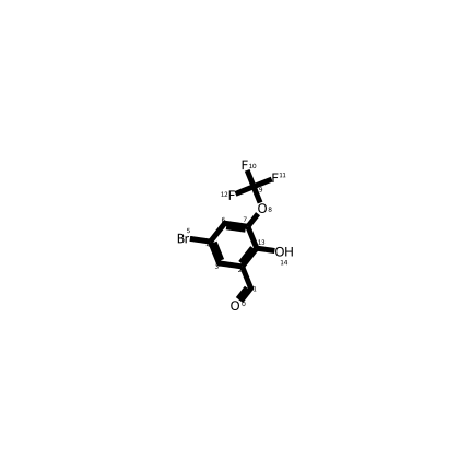 O=Cc1cc(Br)cc(OC(F)(F)F)c1O